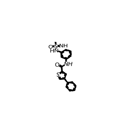 CS(=N)(=O)Nc1cccc(NC(=O)c2cc(-c3ccccc3)cs2)c1